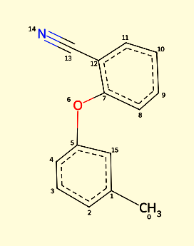 Cc1cccc(Oc2ccccc2C#N)c1